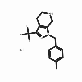 Cc1ccc(Cn2nc(C(F)(F)F)c3c2CNCC3)cc1.Cl